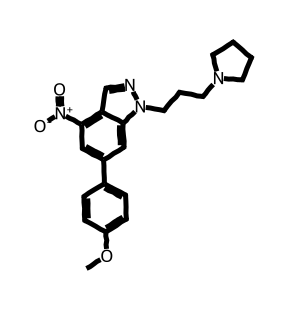 COc1ccc(-c2cc([N+](=O)[O-])c3cnn(CCCN4CCCC4)c3c2)cc1